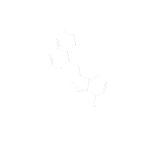 Cc1cc(Cn2ccc3c([NH])cccc32)c2ccccc2n1